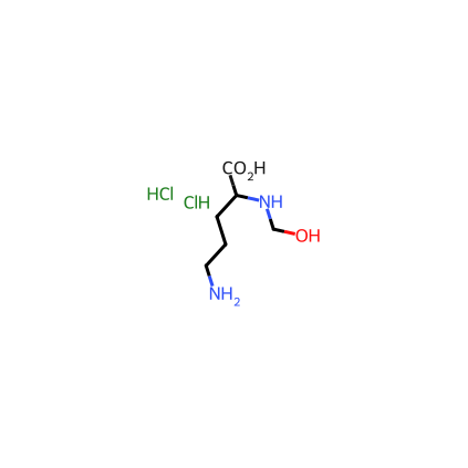 Cl.Cl.NCCCC(NCO)C(=O)O